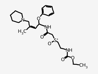 CCOC(=O)NCC[S+]([O-])CC(=O)NC(/C=C(/C)CN1CCCCC1)Oc1ccccc1